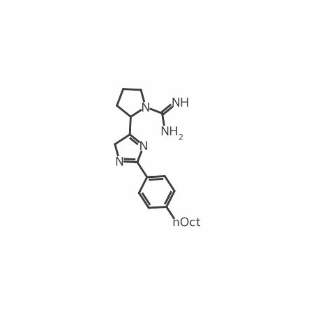 CCCCCCCCc1ccc(C2=NCC(C3CCCN3C(=N)N)=N2)cc1